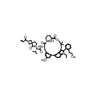 C=CC(=O)N1CC2(CCN([C@H](C(=O)N[C@H]3Cc4cc(O)cc(c4)-c4ccc5c(c4)c(c(-c4ccccc4CCOC)n5CC)CC(C)(C)COC(=O)[C@@H]4CCCN(N4)C3=O)C(C)C)C2=O)C1